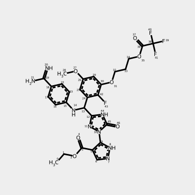 CCOC(=O)c1cn[nH]c1-n1nc(C(Nc2ccc(C(=N)N)cc2)c2cc(OC)cc(OCCCOC(=O)C(F)(F)F)c2F)[nH]c1=O